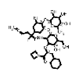 C=C=CCC(I)(CC)C1CC(CC)[C@@H](O[C@@H]2OC(C(F)(F)F)[C@@H](O)C(O)C2O)[C@H](O[C@@H]2OC(CO)[C@H](O)C(O[C@@H](CC3CCCCC3)C(=O)N3CCC3)C2NC(C)=O)C1